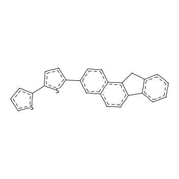 c1csc(-c2ccc(-c3ccc4c5c(ccc4c3)-c3ccccc3C5)s2)c1